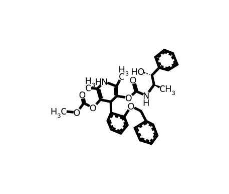 COC(=O)OC1=C(C)NC(C)=C(OC(=O)N[C@H](C)[C@H](O)c2ccccc2)C1c1ccccc1OCc1ccccc1